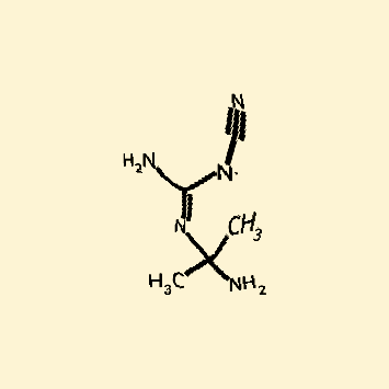 CC(C)(N)N=C(N)[N]C#N